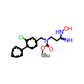 CC(C)(C)OC(=O)N(CCC(=N)NO)Cc1ccc(-c2ccccc2)c(Cl)c1